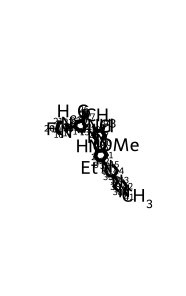 CCc1cc(Nc2ncc(Cl)c(Nc3ccc(-c4ncc(F)cn4)cc3P(C)C)n2)c(OC)cc1N1CCC(N2CCN(C)CC2)CC1